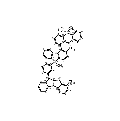 Cc1ccc([Si](C)(c2ccccc2)c2cccc(-n3c4ccccc4n4c5cccc(C)c5nc34)c2)cc1-c1cccc2c1Oc1ccccc1[Si]2(C)C